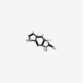 O=c1[nH]c2cc3[nH]ccc3cc2s1